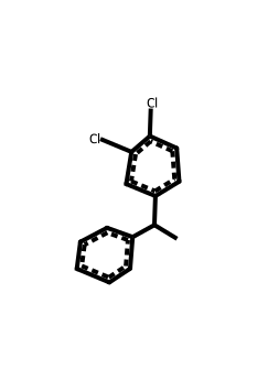 CC(c1ccccc1)c1ccc(Cl)c(Cl)c1